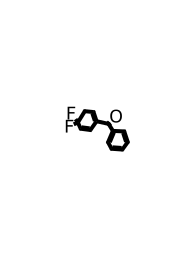 O=C(C1=CCC(F)(F)C=C1)c1ccccc1